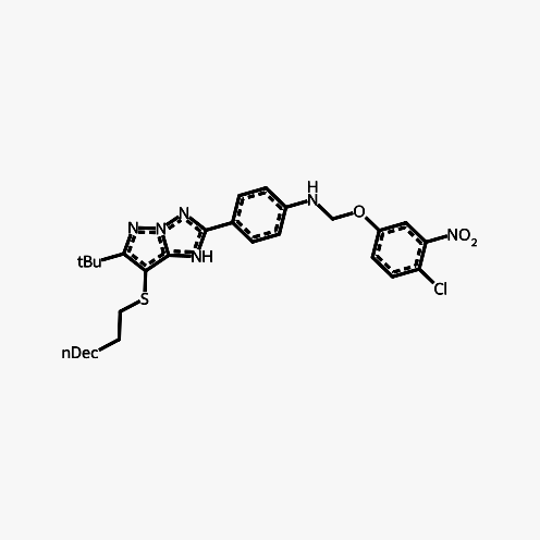 CCCCCCCCCCCCSc1c(C(C)(C)C)nn2nc(-c3ccc(NCOc4ccc(Cl)c([N+](=O)[O-])c4)cc3)[nH]c12